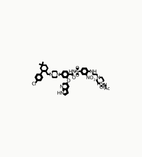 CC(=O)N=[SH]1(O)CCN(CCNc2ccc(S(=O)(=O)NC(=O)c3ccc(N4CCN(CC5=C(c6ccc(Cl)cc6)CC(C)(C)CC5)CC4)cc3Oc3cnc4[nH]ccc4c3)cc2[N+](=O)[O-])CC1